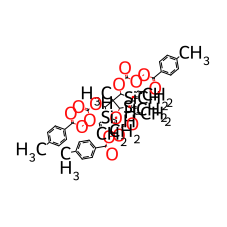 C=C[SiH](C=C)C(OC(=O)OOC(=O)c1ccc(C)cc1)C(C)(C(OC(=O)OOC(=O)c1ccc(C)cc1)[SiH](C=C)C=C)C(OC(=O)OOC(=O)c1ccc(C)cc1)[SiH](C=C)C=C